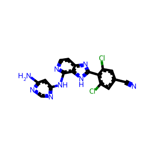 N#Cc1cc(Cl)c(-c2nc3ccnc(Nc4cc(N)ncn4)c3[nH]2)c(Cl)c1